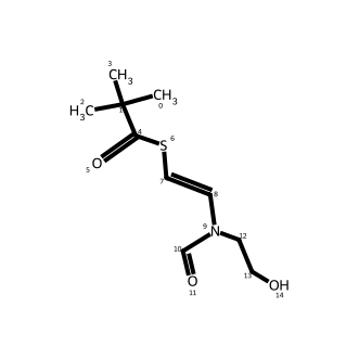 CC(C)(C)C(=O)SC=CN(C=O)CCO